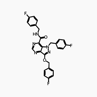 O=C(NCc1ccc(F)cc1)c1ncnc2c(OCc3ccc(F)cc3)nn(Cc3ccc(F)cc3)c12